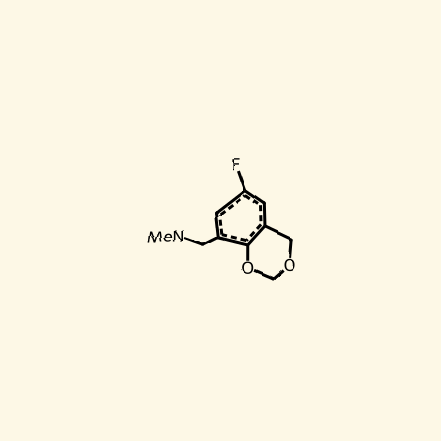 CNCc1cc(F)cc2c1OCOC2